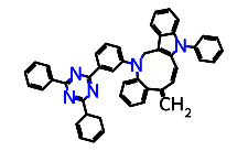 C=C1/C=C\c2c(c3ccccc3n2-c2ccccc2)CN(c2cccc(-c3nc(-c4ccccc4)nc(C4C=CC=CC4)n3)c2)c2ccccc21